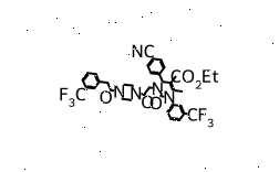 CCOC(=O)C1=C(C)N(c2cccc(C(F)(F)F)c2)C(=O)N(CC(=O)N2CCN(C(=O)Cc3cccc(C(F)(F)F)c3)CC2)C1c1ccc(C#N)cc1